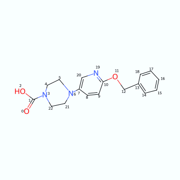 O=C(O)N1CCN(c2ccc(OCc3ccccc3)nc2)CC1